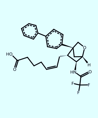 O=C(O)CCC/C=C\C[C@H]1[C@H](NC(=O)C(F)(F)F)[C@@H]2C[C@@]1(c1ccc(-c3ccccc3)cc1)CO2